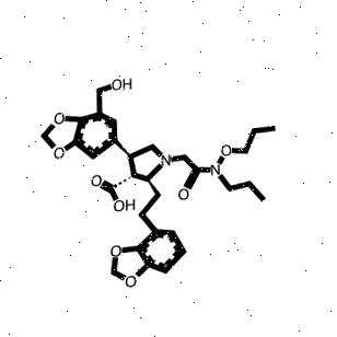 CCCON(CCC)C(=O)CN1C[C@H](c2cc(CO)c3c(c2)OCO3)[C@@H](C(=O)O)[C@@H]1CCc1cccc2c1OCO2